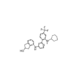 CN(c1cc(C(F)(F)F)ccc1-c1cc(Nc2cccc3c2CC(O)C3)ccn1)C1CCCCC1